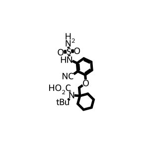 CC(C)(C)N(C(=O)O)C1(COc2cccc(NS(N)(=O)=O)c2C#N)CCCCC1